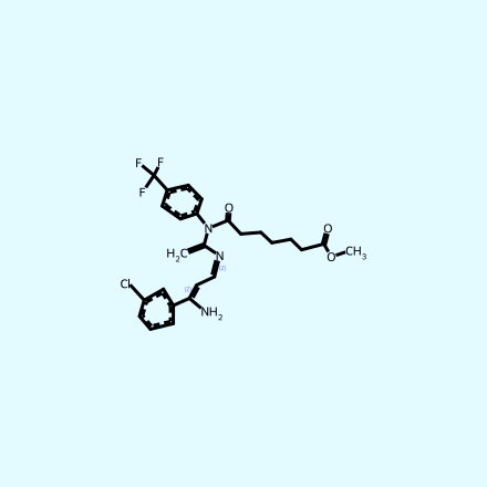 C=C(/N=C\C=C(/N)c1cccc(Cl)c1)N(C(=O)CCCCCC(=O)OC)c1ccc(C(F)(F)F)cc1